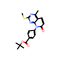 CSc1nc(C)c2ccc(=O)n(-c3ccc(C(=O)OC(C)(C)C)cc3)c2n1